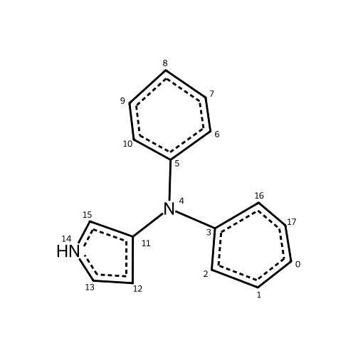 c1ccc(N(c2ccccc2)c2cc[nH]c2)cc1